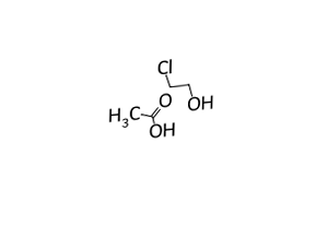 CC(=O)O.OCCCl